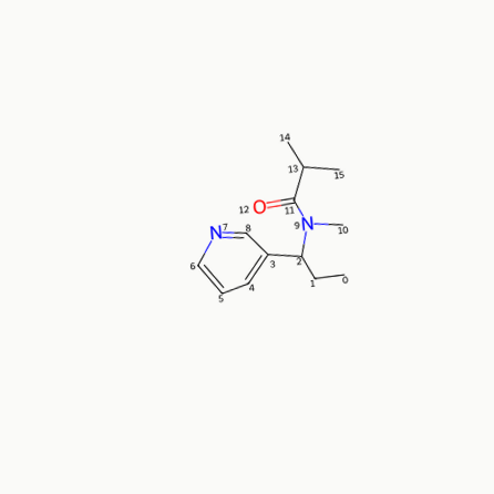 CCC(c1cccnc1)N(C)C(=O)C(C)C